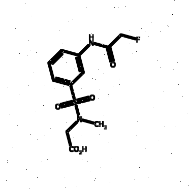 CN(CC(=O)O)S(=O)(=O)c1cccc(NC(=O)CF)c1